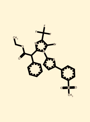 CCOC(=O)C(c1ccccc1)c1nc(C(F)(F)F)c(Br)n1-c1ccc(-c2cccc(S(C)(=O)=O)c2)s1